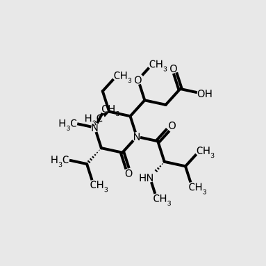 CC[C@H](C)C(C(CC(=O)O)OC)N(C(=O)[C@@H](NC)C(C)C)C(=O)[C@H](C(C)C)N(C)C